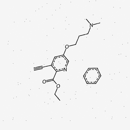 C#Cc1cc(OCCCN(C)C)cnc1C(=O)OCC.c1ccccc1